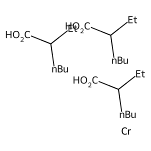 CCCCC(CC)C(=O)O.CCCCC(CC)C(=O)O.CCCCC(CC)C(=O)O.[Cr]